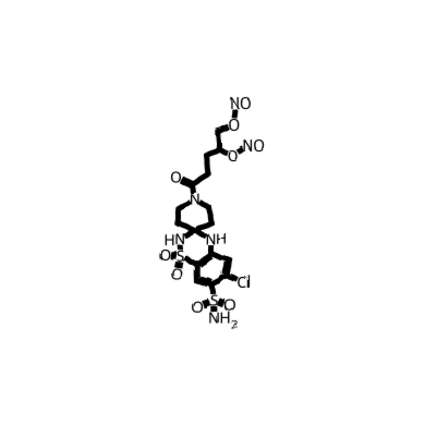 NS(=O)(=O)c1cc2c(cc1Cl)NC1(CCN(C(=O)CCC(CON=O)ON=O)CC1)NS2(=O)=O